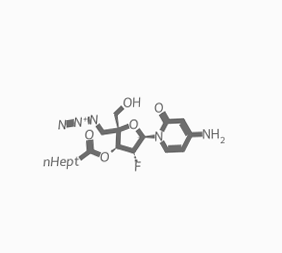 CCCCCCCC(=O)O[C@H]1[C@@H](F)[C@H](n2ccc(N)cc2=O)O[C@@]1(CO)CN=[N+]=[N-]